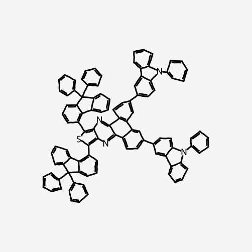 c1ccc(-n2c3ccccc3c3cc(-c4ccc5c(c4)c4cc(-c6ccc7c(c6)c6ccccc6n7-c6ccccc6)ccc4c4nc6c(-c7cccc8c7-c7ccccc7C8(c7ccccc7)c7ccccc7)sc(-c7cccc8c7-c7ccccc7C8(c7ccccc7)c7ccccc7)c6nc54)ccc32)cc1